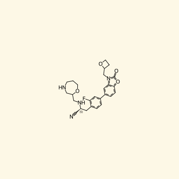 N#C[C@H](Cc1ccc(-c2ccc3oc(=O)n(CC4CCO4)c3c2)cc1F)NCC1CNCCCO1